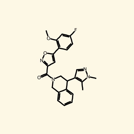 COc1cc(F)ccc1-c1cc(C(=O)N2Cc3ccccc3C(c3cnn(C)c3C)C2)no1